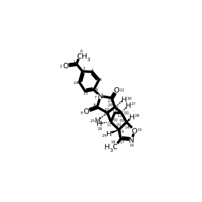 CC(=O)c1ccc(N2C(=O)[C@@H]3[C@H]4C[C@H]([C@@H]5ON=C(C)[C@H]45)[C@@H]3C2=O)cc1